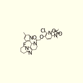 Cc1cnc(C2c3c(nc4n3CCCC4)CCN2C(=O)COc2ccc(N(C)S(C)(=O)=O)nc2Cl)c(F)c1